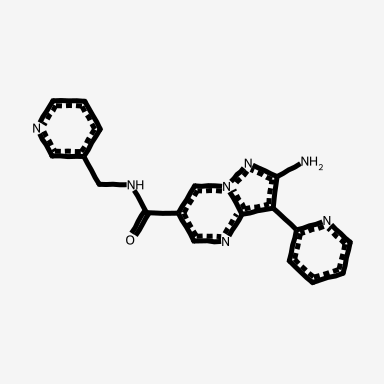 Nc1nn2cc(C(=O)NCc3cccnc3)cnc2c1-c1ccccn1